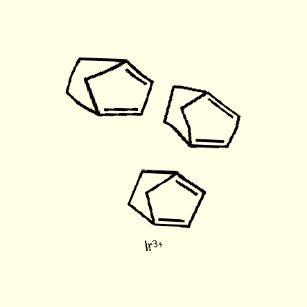 C1=C2CCC(=C1)C2.C1=C2CCC(=C1)C2.C1=C2CCC(=C1)C2.[Ir+3]